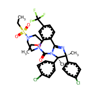 CCOc1cc(C(F)(F)F)ccc1C1=N[C@@](C)(c2ccc(Cl)cc2)[C@@](C)(c2ccc(Cl)cc2)N1C(=O)N1CCN(S(=O)(=O)CC)CC1